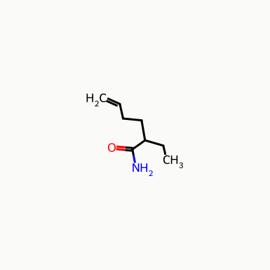 C=CCCC(CC)C(N)=O